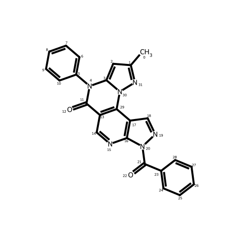 Cc1cc2n(-c3ccccc3)c(=O)c3cnc4c(cnn4C(=O)c4ccccc4)c3n2n1